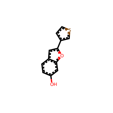 Oc1ccc2cc(-c3ccsc3)oc2c1